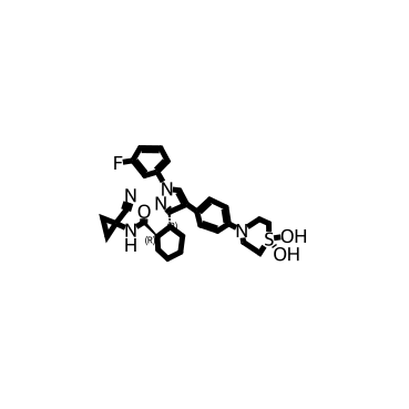 N#CC1(NC(=O)[C@@H]2CCCC[C@H]2c2nn(-c3cccc(F)c3)cc2-c2ccc(N3CCS(O)(O)CC3)cc2)CC1